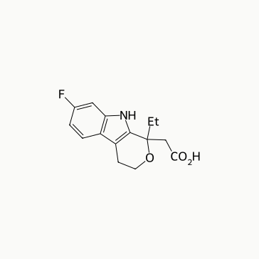 CCC1(CC(=O)O)OCCc2c1[nH]c1cc(F)ccc21